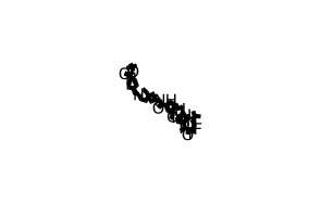 COc1cc(C(=O)NC2CC3(CCN(CC4CCN(C(=O)OC(C)(C)C)CC4)CC3)C2)ccc1N(C)c1ncc2c(n1)N(C(C)C)CC(F)(F)C(=O)N2C